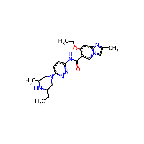 CCOc1cc2nc(C)cn2cc1C(=O)Nc1ccc(N2CC(C)NC(CC)C2)nn1